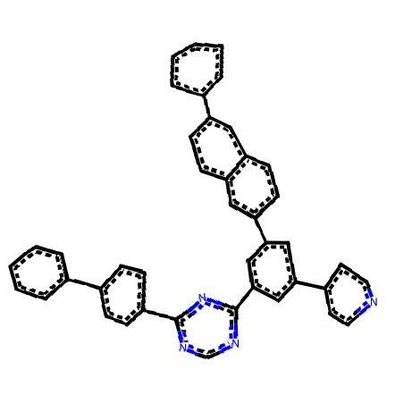 c1ccc(-c2ccc(-c3ncnc(-c4cc(-c5ccncc5)cc(-c5ccc6cc(-c7ccccc7)ccc6c5)c4)n3)cc2)cc1